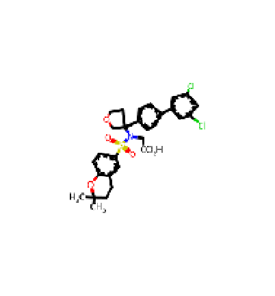 CC1(C)CCc2cc(S(=O)(=O)N(CC(=O)O)C3(c4ccc(-c5cc(Cl)cc(Cl)c5)cc4)CCOC3)ccc2O1